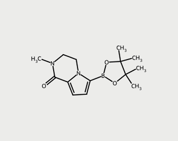 CN1CCn2c(B3OC(C)(C)C(C)(C)O3)ccc2C1=O